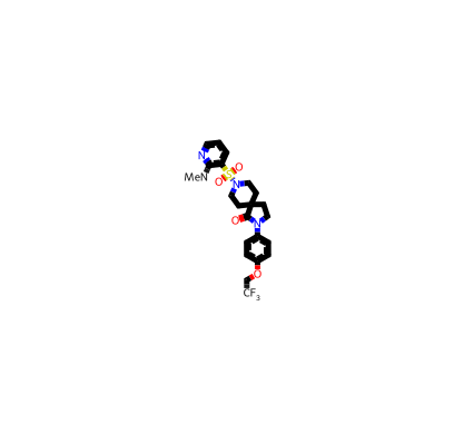 CNc1ncccc1S(=O)(=O)N1CCC2(CCN(c3ccc(OCC(F)(F)F)cc3)C2=O)CC1